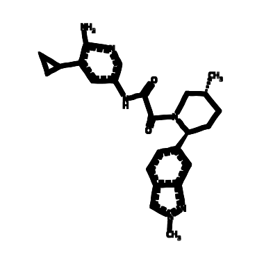 C[C@@H]1CC[C@@H](c2ccc3cn(C)nc3c2)N(C(=O)C(=O)Nc2cnc(N)c(C3CC3)c2)C1